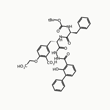 CC(C)(C)OC(=O)N[C@@H](Cc1ccccc1)C(=O)N[C@@H](Cc1ccc(OCC(=O)O)c(C(=O)O)c1)C(=O)NNC(=O)c1cccc(-c2ccccc2)c1O